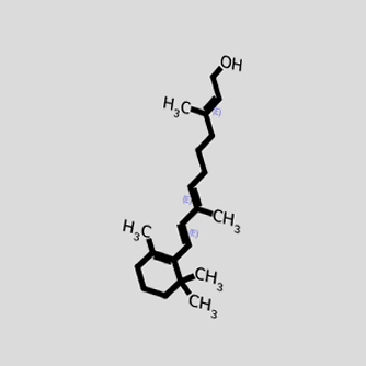 CC1=C(/C=C/C(C)=C/CCC/C(C)=C/CO)C(C)(C)CCC1